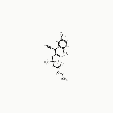 CCOC(=O)CC(C)(C)CC(=O)C(C#N)c1cc(C)ccc1C